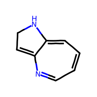 C1=CC=C2NCC=C2N=C1